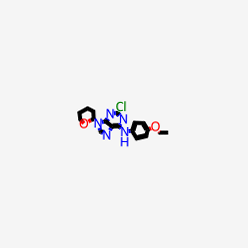 CCOc1ccc(Nc2nc(Cl)nc3c2ncn3C2CCCCO2)cc1